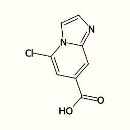 O=C(O)c1cc(Cl)n2ccnc2c1